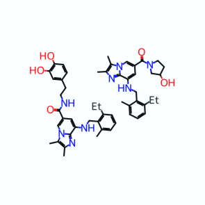 CCc1cccc(C)c1CNc1cc(C(=O)N2CCC(O)C2)cn2c(C)c(C)nc12.CCc1cccc(C)c1CNc1cc(C(=O)NCCc2ccc(O)c(O)c2)cn2c(C)c(C)nc12